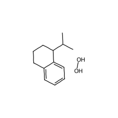 CC(C)C1CCCc2ccccc21.OO